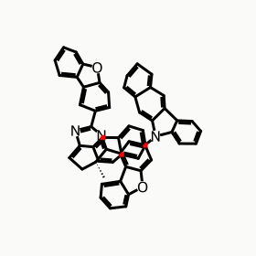 C[C@@H]1C/C=C(c2ccc3ccccc3c2)/N=C(c2ccc3oc4ccccc4c3c2)\N=C/1c1cc(-n2c3ccccc3c3cc4ccccc4cc32)cc2oc3ccccc3c12